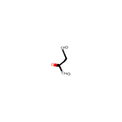 O=[C]CC(=O)[C]=O